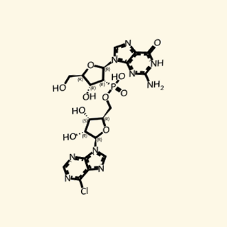 Nc1nc2c(ncn2[C@@H]2O[C@H](CO)[C@@H](O)[C@H]2P(=O)(O)OC[C@H]2O[C@@H](n3cnc4c(Cl)ncnc43)[C@H](O)[C@@H]2O)c(=O)[nH]1